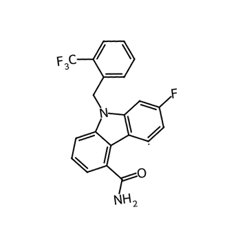 NC(=O)c1cccc2c1c1[c]cc(F)cc1n2Cc1ccccc1C(F)(F)F